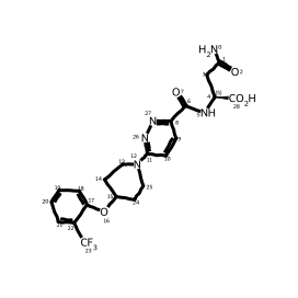 NC(=O)C[C@H](NC(=O)c1ccc(N2CCC(Oc3ccccc3C(F)(F)F)CC2)nn1)C(=O)O